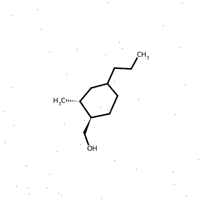 CCCC1CC[C@@H](CO)[C@H](C)C1